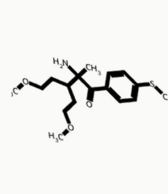 COCCC(CCOC)C(C)(N)C(=O)c1ccc(SC)cc1